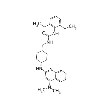 CCc1cccc(CC)c1NC(=O)NC[C@H]1CC[C@@H](Nc2cc(N(C)C)c3ccccc3n2)CC1